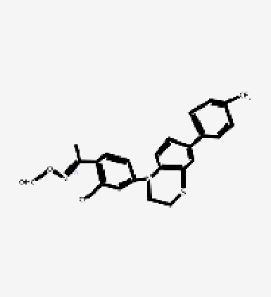 C/C(=N\OC=O)c1ccc(N2CCSc3cc(-c4ccc(C(F)(F)F)cc4)ccc32)cc1Cl